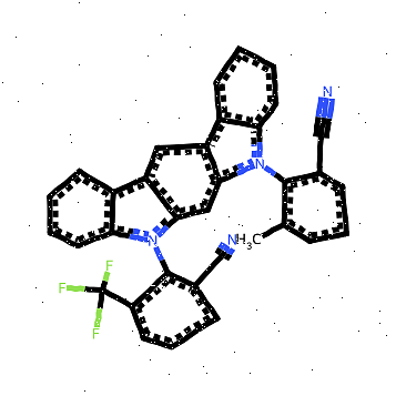 Cc1cccc(C#N)c1-n1c2ccccc2c2cc3c4ccccc4n(-c4c(C#N)cccc4C(F)(F)F)c3cc21